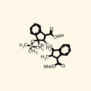 COC(=O)C1c2ccccc2C(=O)C1C.COC(=O)C1c2ccccc2C(C#N)(O[Si](C)(C)C)C1C